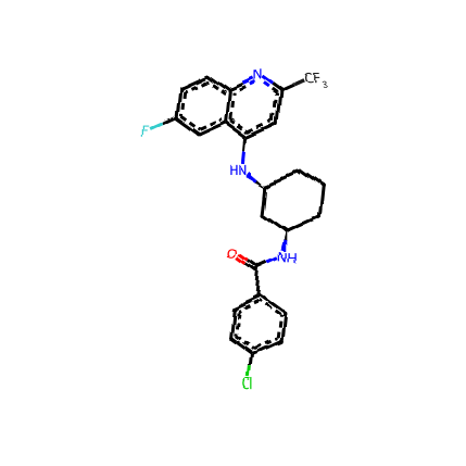 O=C(N[C@@H]1CCC[C@H](Nc2cc(C(F)(F)F)nc3ccc(F)cc23)C1)c1ccc(Cl)cc1